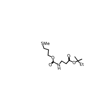 CCC(C)(C)OC(=O)CCNC(=O)OCCCSC